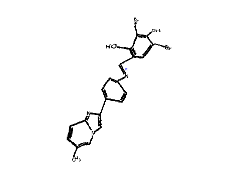 Cc1ccc2nc(-c3ccc(/N=C/c4cc(Br)c(O)c(Br)c4O)cc3)cn2c1